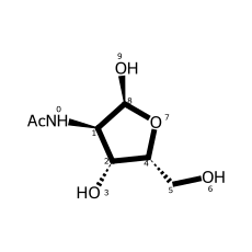 CC(=O)N[C@@H]1[C@@H](O)[C@@H](CO)O[C@@H]1O